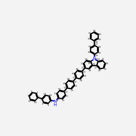 c1ccc(-c2ccc(Nc3ccc(-c4ccc(-c5ccc(-c6ccc7c(c6)c6ccccc6n7-c6ccc(-c7ccccc7)cc6)cc5)cc4)cc3)cc2)cc1